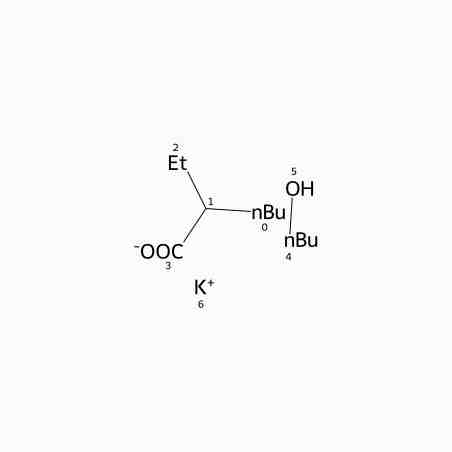 CCCCC(CC)C(=O)[O-].CCCCO.[K+]